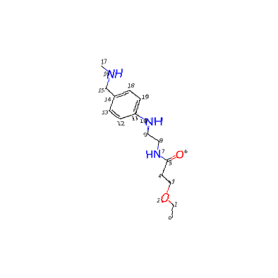 CCOCCC(=O)NCCNc1ccc(CNC)cc1